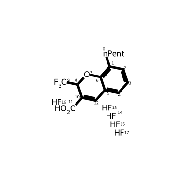 CCCCCc1cccc2c1OC(C(F)(F)F)C(C(=O)O)=C2.F.F.F.F.F